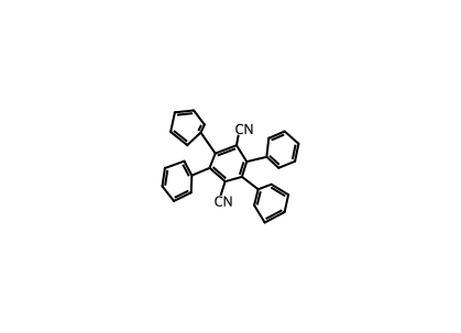 N#Cc1c(-c2ccccc2)c(-c2ccccc2)c(C#N)c(-c2ccccc2)c1-c1ccccc1